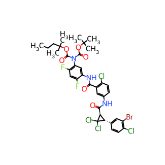 CCCC(C)(C)OC(=O)N(C(=O)OC(C)(C)C)c1cc(NC(=O)c2cc(NC(=O)[C@H]3[C@H](c4ccc(Cl)c(Br)c4)C3(Cl)Cl)ccc2Cl)c(F)cc1F